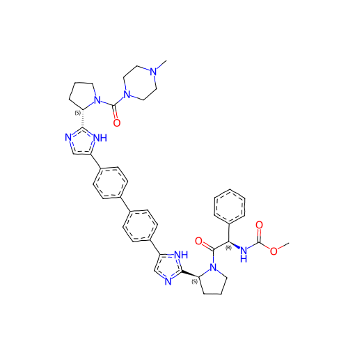 COC(=O)N[C@@H](C(=O)N1CCC[C@H]1c1ncc(-c2ccc(-c3ccc(-c4cnc([C@@H]5CCCN5C(=O)N5CCN(C)CC5)[nH]4)cc3)cc2)[nH]1)c1ccccc1